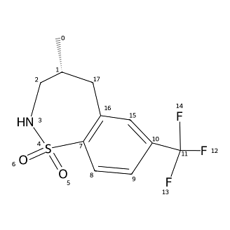 C[C@H]1CNS(=O)(=O)c2ccc(C(F)(F)F)cc2C1